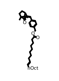 CCCCCCCCC=CCCCCCCCC(=O)OCc1ccc(C=C2C(=O)C3(C)CCC2C3(C)C)cc1